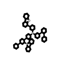 c1ccc(-c2ccc(-c3ccc(N(c4cccc(-c5ccccc5-c5ccccc5)c4)c4cccc(-c5cccc6c5oc5ccccc56)c4)cc3)c(-n3c4ccccc4c4ccccc43)c2)cc1